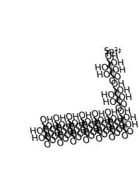 O=C([O-])[C@H](O)[C@@H](O)[C@H](O)[C@H](O)CO.O=C([O-])[C@H](O)[C@@H](O)[C@H](O)[C@H](O)CO.O=C([O-])[C@H](O)[C@@H](O)[C@H](O)[C@H](O)CO.O=C([O-])[C@H](O)[C@@H](O)[C@H](O)[C@H](O)CO.O=C([O-])[C@H](O)[C@@H](O)[C@H](O)[C@H](O)CO.O=C([O-])[C@H](O)[C@@H](O)[C@H](O)[C@H](O)CO.O=C([O-])[C@H](O)[C@@H](O)[C@H](O)[C@H](O)CO.O=C([O-])[C@H](O)[C@@H](O)[C@H](O)[C@H](O)CO.O=C([O-])[C@H](O)[C@@H](O)[C@H](O)[C@H](O)CO.[Sn+2].[Tc+7]